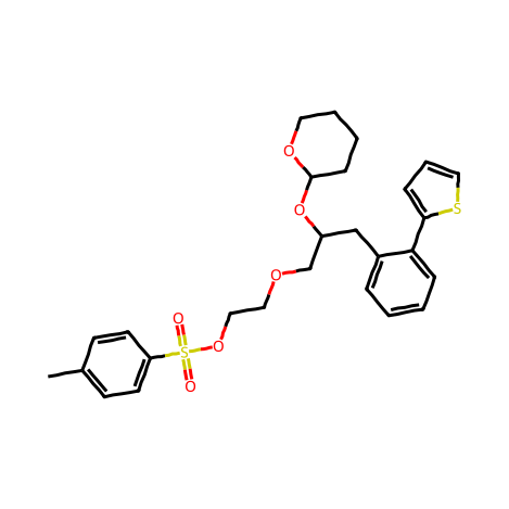 Cc1ccc(S(=O)(=O)OCCOCC(Cc2ccccc2-c2cccs2)OC2CCCCO2)cc1